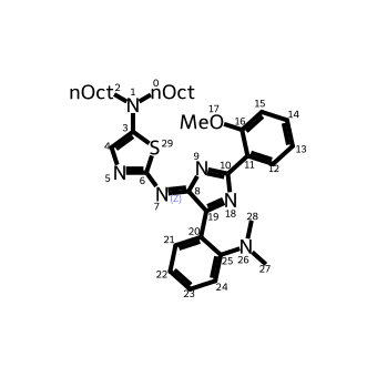 CCCCCCCCN(CCCCCCCC)c1cnc(/N=C2\N=C(c3ccccc3OC)N=C2c2ccccc2N(C)C)s1